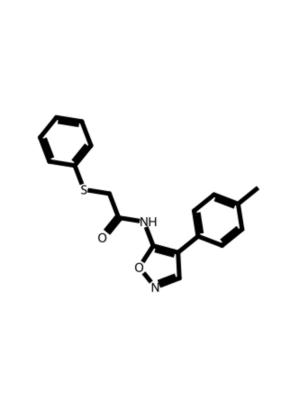 Cc1ccc(-c2cnoc2NC(=O)CSc2ccccc2)cc1